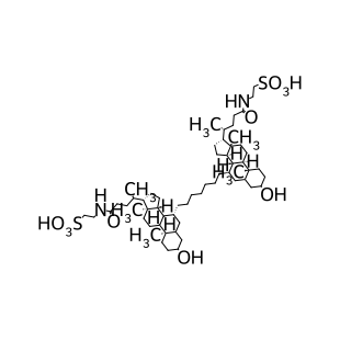 C[C@H](CCC(=O)NCCS(=O)(=O)O)[C@H]1CC[C@@H]2[C@H]3[C@H](CCCCCCC[C@@H]4CC5C[C@@H](O)CC[C@@]5(C)[C@@H]5CC[C@]6(C)[C@H](CC[C@H]6[C@H](C)CCC(=O)NCCS(=O)(=O)O)[C@@H]45)CC4C[C@@H](O)CC[C@@]4(C)[C@@H]3CC[C@]21C